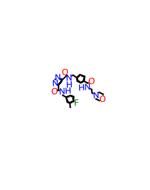 Cc1cc(CNC(=O)c2cc(C(=O)NCc3ccc(C(=O)NCCN4CCOCC4)cc3)ncn2)ccc1F